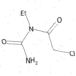 CCN(C(N)=O)C(=O)CCl